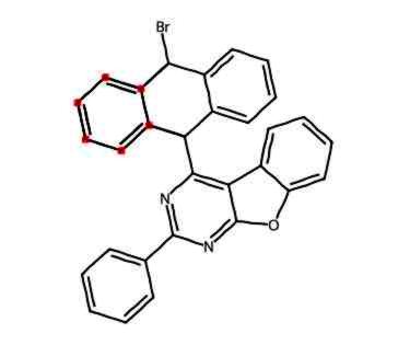 BrC12c3ccccc3C(c3nc(-c4ccccc4)nc4oc5ccccc5c34)(c3ccccc31)c1ccccc12